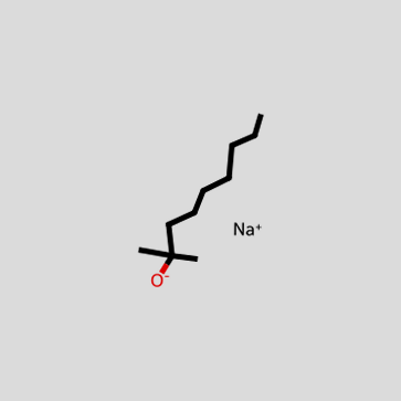 CCCCCCCC(C)(C)[O-].[Na+]